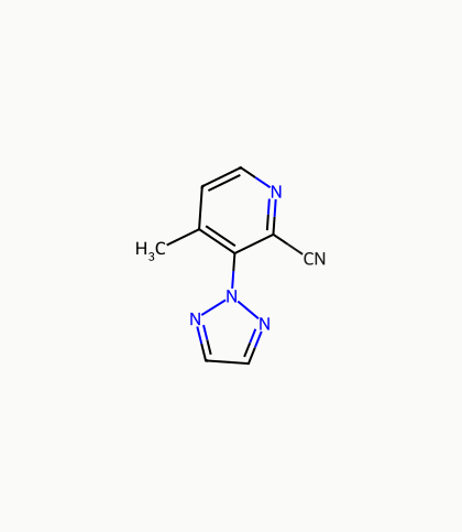 Cc1ccnc(C#N)c1-n1nccn1